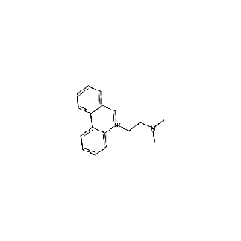 CN(C)CC[n+]1cc2ccccc2c2ccccc21